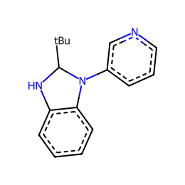 CC(C)(C)C1Nc2ccccc2N1c1cccnc1